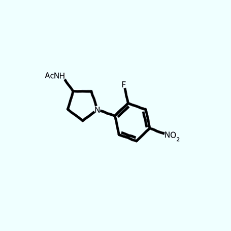 CC(=O)NC1CCN(c2ccc([N+](=O)[O-])cc2F)C1